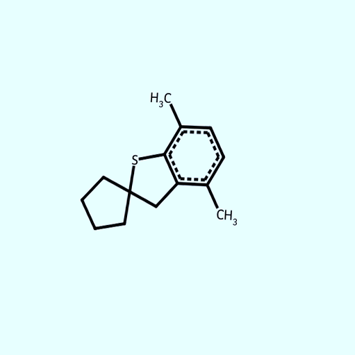 Cc1ccc(C)c2c1CC1(CCCC1)S2